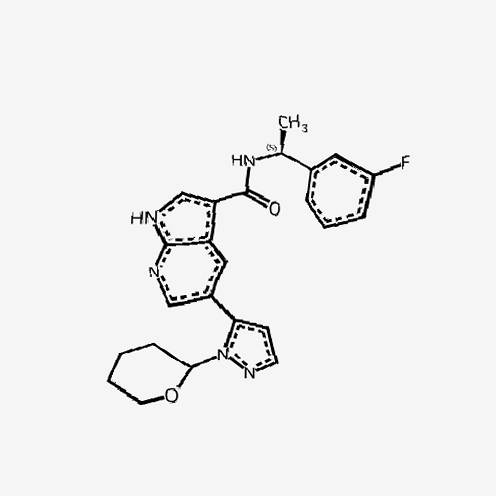 C[C@H](NC(=O)c1c[nH]c2ncc(-c3ccnn3C3CCCCO3)cc12)c1cccc(F)c1